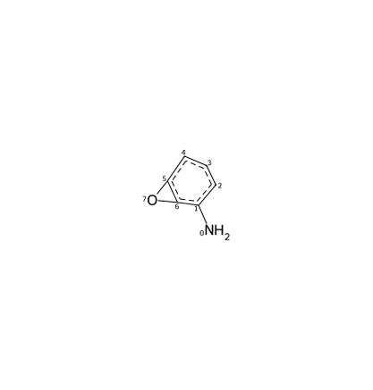 Nc1cccc2c1O2